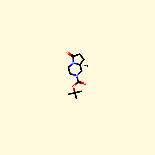 CC(C)(C)OC(=O)N1CCN2C(=O)CC[C@H]2C1